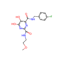 COCCNC(=O)c1nc(O)c(O)c(C(=O)NCc2ccc(F)cc2)n1